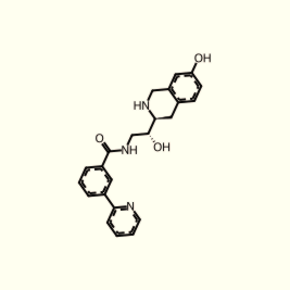 O=C(NC[C@@H](O)[C@@H]1Cc2ccc(O)cc2CN1)c1cccc(-c2ccccn2)c1